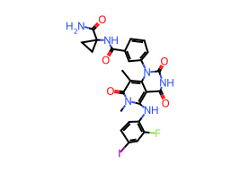 Cc1c(=O)n(C)c(Nc2ccc(I)cc2F)c2c(=O)[nH]c(=O)n(-c3cccc(C(=O)NC4(C(N)=O)CC4)c3)c12